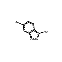 CC(C)c1ccc2c(N=O)noc2c1